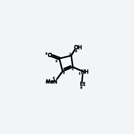 CCNC1=C(NC)C(=O)C1O